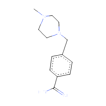 CN1CCN(Cc2ccc(C(=N)N)cc2)CC1